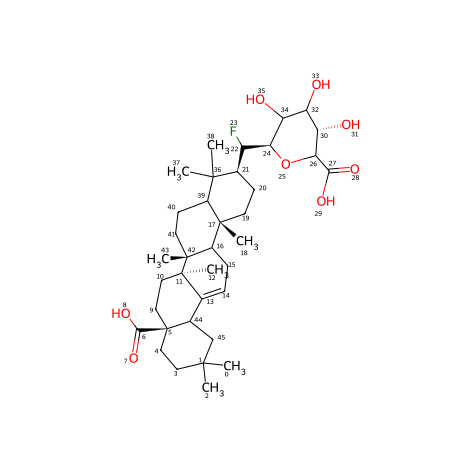 CC1(C)CC[C@]2(C(=O)O)CC[C@]3(C)C(=CCC4[C@@]5(C)CC[C@H](C(F)[C@@H]6OC(C(=O)O)[C@@H](O)C(O)C6O)C(C)(C)C5CC[C@]43C)C2C1